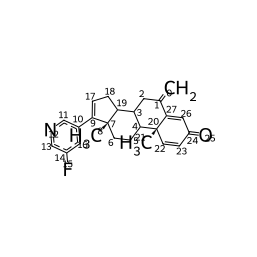 C=C1CC2C(CC[C@]3(C)C(c4cncc(F)c4)=CCC23)[C@@]2(C)C=CC(=O)C=C12